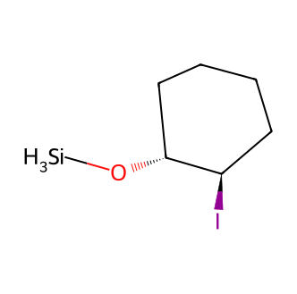 [SiH3]O[C@@H]1CCCC[C@H]1I